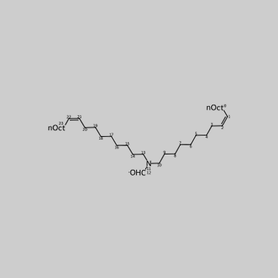 CCCCCCCC/C=C\CCCCCCCCN([C]=O)CCCCCCCC/C=C\CCCCCCCC